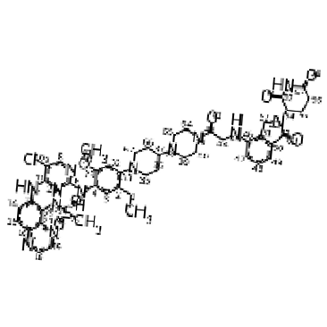 CCc1cc(Nc2ncc(Cl)c(Nc3ccc4nccnc4c3NS(C)(=O)=O)n2)c(OC)cc1N1CCC(N2CCN(C(=O)CNc3cccc4c3CN(C3CCC(=O)NC3=O)C4=O)CC2)CC1